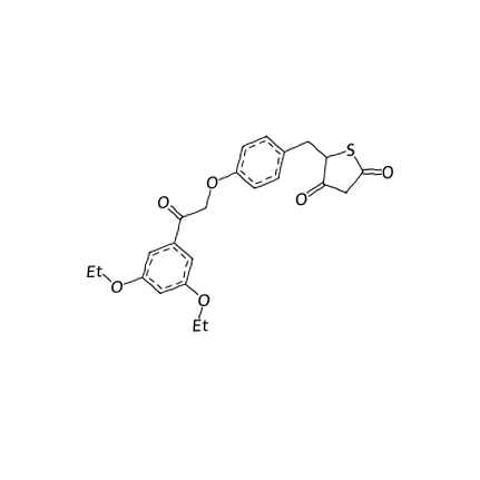 CCOc1cc(OCC)cc(C(=O)COc2ccc(CC3SC(=O)CC3=O)cc2)c1